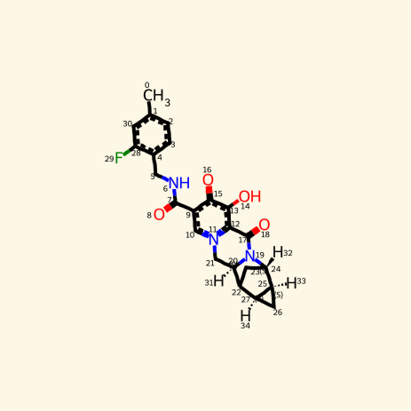 Cc1ccc(CNC(=O)c2cn3c(c(O)c2=O)C(=O)N2[C@H](C3)C3C[C@H]2[C@H]2C[C@@H]32)c(F)c1